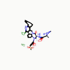 CN[C@@H](C)C(=O)N[C@@H]1C(=O)N(Cc2c(C)c(Cl)nc3ccccc23)c2ccccc2N(C(=O)CS(C)(=O)=O)[C@H]1C.Cl